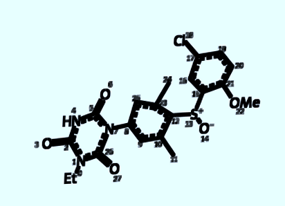 CCn1c(=O)[nH]c(=O)n(-c2cc(C)c([S+]([O-])c3cc(Cl)ccc3OC)c(C)c2)c1=O